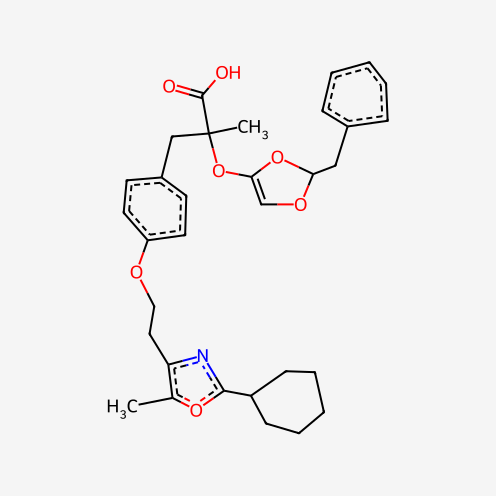 Cc1oc(C2CCCCC2)nc1CCOc1ccc(CC(C)(OC2=COC(Cc3ccccc3)O2)C(=O)O)cc1